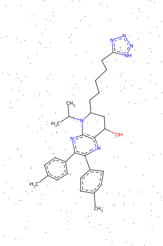 Cc1ccc(-c2nc3c(nc2-c2ccc(C)cc2)N(C(C)C)C(CCCCCc2nnn[nH]2)CC3O)cc1